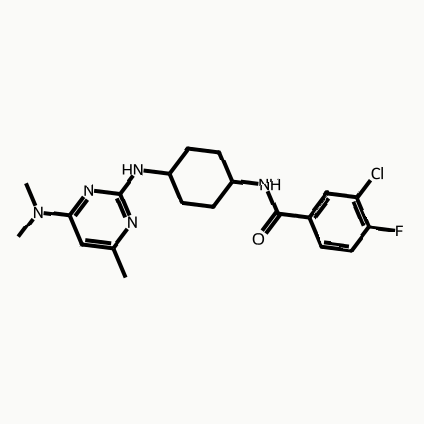 Cc1cc(N(C)C)nc(NC2CCC(NC(=O)c3ccc(F)c(Cl)c3)CC2)n1